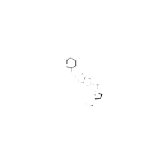 NC(=O)c1ccn(C(=O)N2CC3CN(Cc4cc(Cl)cc(C(F)(F)F)c4)CC3C2)n1